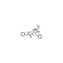 CC(C)(C)OC(=O)NC(Cc1ccccc1)C(O)C(F)(F)C(=O)NCc1ccccc1